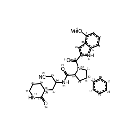 COc1cccc2[nH]c(C(=O)N3C[C@H](c4ccccc4)CC3C(=O)NC(CC#N)C[C@@H]3CCCNC3=O)cc12